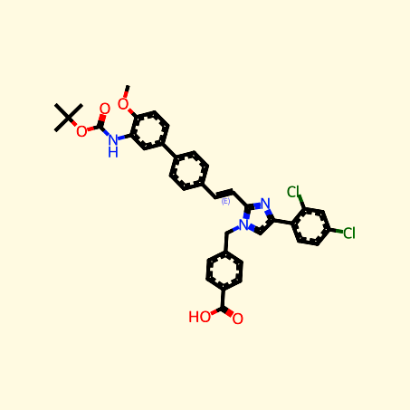 COc1ccc(-c2ccc(/C=C/c3nc(-c4ccc(Cl)cc4Cl)cn3Cc3ccc(C(=O)O)cc3)cc2)cc1NC(=O)OC(C)(C)C